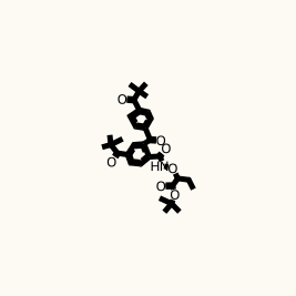 CCC(ONC(=O)c1ccc(C(=O)C(C)(C)C)cc1C(=O)c1ccc(C(=O)C(C)(C)C)cc1)C(=O)OC(C)(C)C